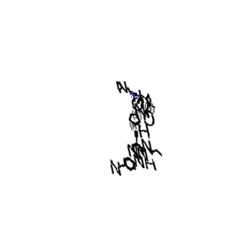 CCCNc1nc(Nc2ccc(C#N)cc2)ncc1C#C[C@@H]1CC[C@H](NC(=O)[C@H](C)N(C)C(=O)/C=C/CN(C)C)C1